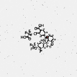 O=C(NC1(c2ccc(OC(F)(F)F)c(F)c2)CCOc2cccnc21)c1ccc(C(=O)O)c(Cl)c1.O=C(O)C(F)(F)F